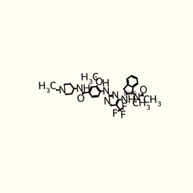 CCN1CCC(NC(=O)c2ccc(Nc3ncc(C(F)(F)F)c(N[C@@H]4Cc5ccccc5[C@H]4N(C)C(C)=O)n3)c(OC)c2)CC1